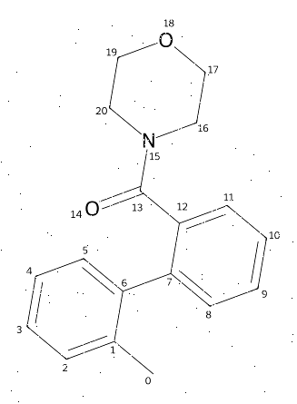 Cc1ccccc1-c1ccccc1C(=O)N1CCOCC1